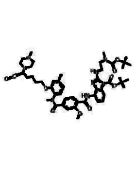 COc1cc(C(=O)N(C)c2ccc(C)cc2OCCCCC(=C=O)N2CCN(C)CC2)ccc1C(=O)Nc1cccc2c1nc(NCCN(C)C(=O)OC(C)(C)C)n2C(=O)OC(C)(C)C